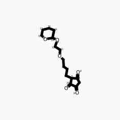 O=C1CC(=O)C(CCCCOCCOC2CCCCO2)C1=O